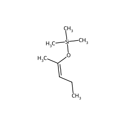 CC/C=C(/C)O[Si](C)(C)C